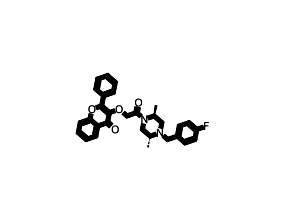 C[C@@H]1CN(C(=O)COc2c(-c3ccccc3)oc3ccccc3c2=O)[C@@H](C)CN1Cc1ccc(F)cc1